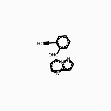 C#Cc1ccccc1C=O.c1cn2ncc3c2nc1-3